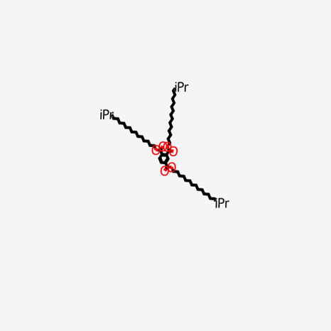 CC(C)CCCCCCCCCCCCCCOC(=O)c1ccc(C(=O)OCCCCCCCCCCCCCCC(C)C)c(C(=O)OCCCCCCCCCCCCCCC(C)C)c1